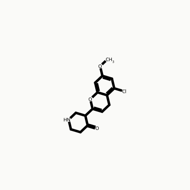 COc1cc(Cl)c2c(c1)OC(C1CNCCC1=O)=CC2